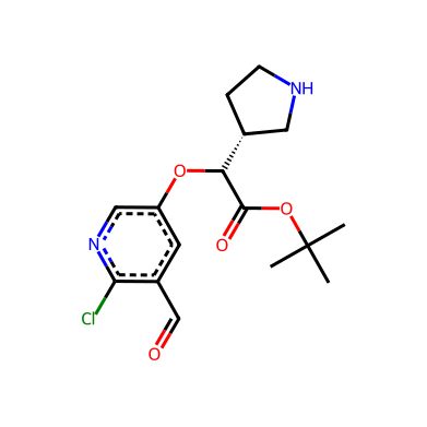 CC(C)(C)OC(=O)C(Oc1cnc(Cl)c(C=O)c1)[C@@H]1CCNC1